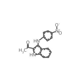 CC(=O)c1[nH]c2ccccc2c1Nc1ccc([N+](=O)[O-])cc1